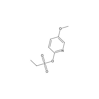 CCS(=O)(=O)Oc1ccc(OC)cn1